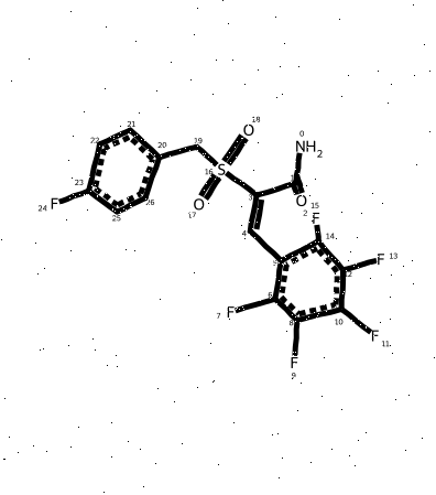 NC(=O)/C(=C\c1c(F)c(F)c(F)c(F)c1F)S(=O)(=O)Cc1ccc(F)cc1